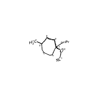 CCCC1(OC#N)CCC(C)CC1